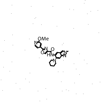 COc1cc(-c2nc(C(=O)Nc3cc4cn(C)nc4cc3N3CCCCC3)co2)ccn1